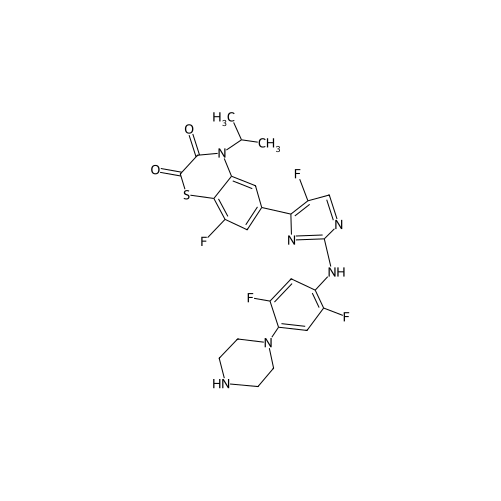 CC(C)n1c(=O)c(=O)sc2c(F)cc(-c3nc(Nc4cc(F)c(N5CCNCC5)cc4F)ncc3F)cc21